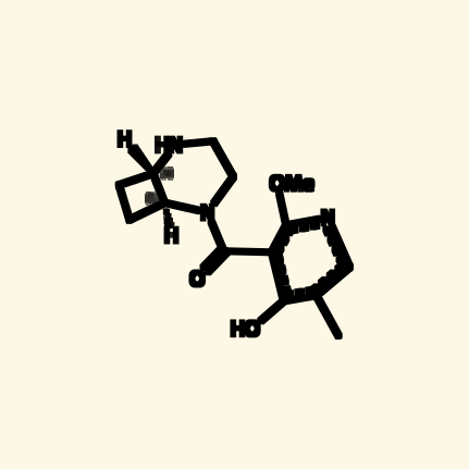 COc1ncc(C)c(O)c1C(=O)N1CCN[C@H]2CC[C@@H]21